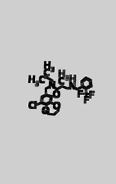 CC(C)CN(Cc1cc(Cl)c2c(c1)OCCCO2)C(=O)C(C)CNCc1ccccc1C(F)(F)F